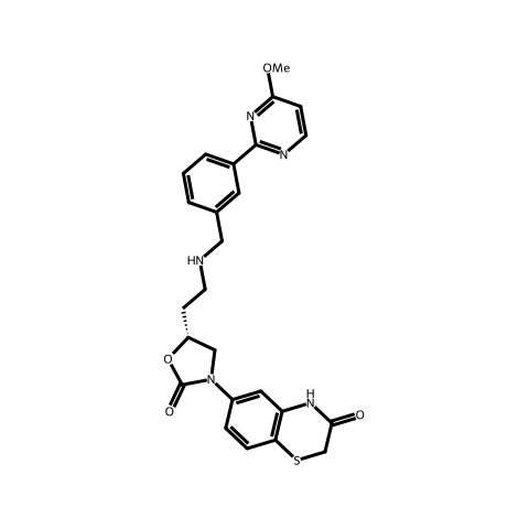 COc1ccnc(-c2cccc(CNCC[C@@H]3CN(c4ccc5c(c4)NC(=O)CS5)C(=O)O3)c2)n1